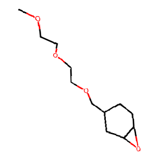 COCCOCCOCC1CCC2OC2C1